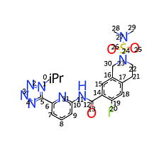 CC(C)n1nnnc1-c1cccc(NC(=O)c2cc3c(cc2F)CCN(S(=O)(=O)N(C)C)C3)n1